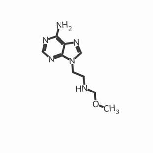 COCNCCn1cnc2c(N)ncnc21